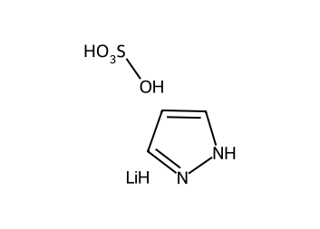 O=S(=O)(O)O.[LiH].c1cn[nH]c1